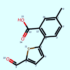 Cc1ccc(-c2ccc(C=O)s2)c(C(=O)O)c1